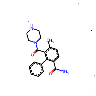 Cc1ccc(C(N)=O)c(-c2ccccc2)c1C(=O)N1CCNCC1